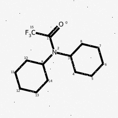 O=C(N(C1CCCCC1)C1CCCCC1)C(F)(F)F